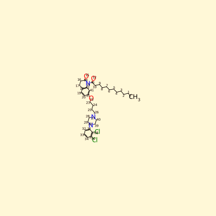 CCCCCCCCCCCC(=O)N1C(=O)CCc2ccc(OCCCCN3CCN(c4cccc(Cl)c4Cl)CC3)cc21